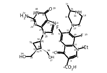 CCn1cc(C(=O)O)c(=O)c2cc(F)c(N3CCNC(C)C3)c(F)c21.Nc1nc2c(ncn2[C@@H]2C[C@H](CO)[C@H]2CO)c(=O)[nH]1